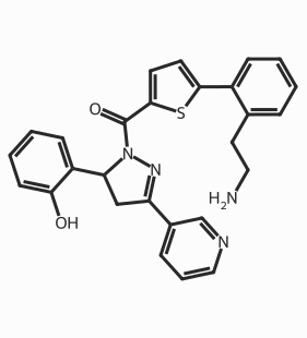 NCCc1ccccc1-c1ccc(C(=O)N2N=C(c3cccnc3)CC2c2ccccc2O)s1